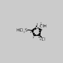 Cl.O=S(=O)(O)c1cc(Cl)cs1